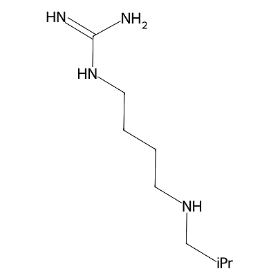 CC(C)CNCCCCNC(=N)N